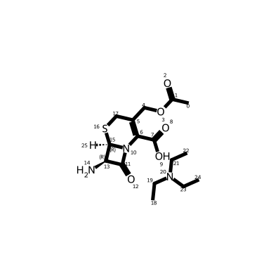 CC(=O)OCC1=C(C(=O)O)N2C(=O)[C@@H](N)[C@H]2SC1.CCN(CC)CC